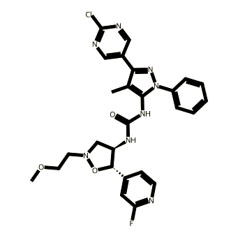 COCCN1C[C@@H](NC(=O)Nc2c(C)c(-c3cnc(Cl)nc3)nn2-c2ccccc2)[C@H](c2ccnc(F)c2)O1